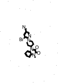 Cn1c(=O)c(=O)n(C2CCN(c3ncc(C#N)cc3Br)CC2)c2ccccc21